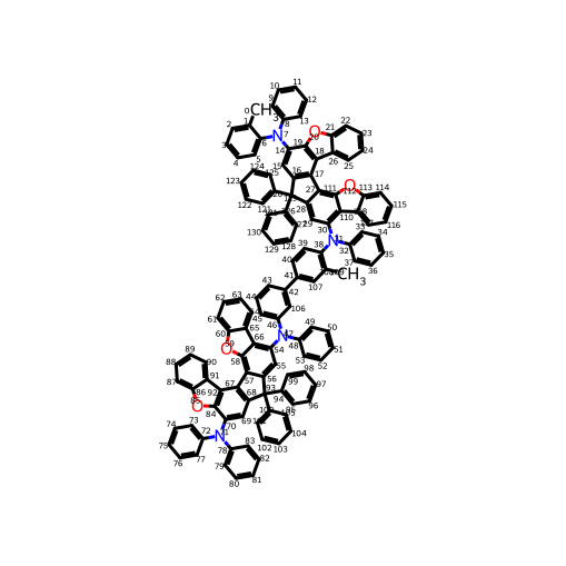 Cc1ccccc1N(c1ccccc1)c1cc2c(c3c1oc1ccccc13)-c1c(cc(N(c3ccccc3)c3ccc(-c4cccc(N(c5ccccc5)c5cc6c(c7oc8ccccc8c57)-c5c(cc(N(c7ccccc7)c7ccccc7)c7oc8ccccc8c57)C6(c5ccccc5)c5ccccc5)c4)cc3C)c3c1oc1ccccc13)C2(c1ccccc1)c1ccccc1